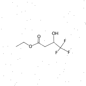 CCOC(=O)CC(O)C(F)(F)F